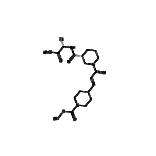 CC[C@H](NC(=O)[C@@H]1CCCN(C(=O)/C=C/C2CCN(C(=O)OC(C)(C)C)CC2)C1)C(=O)OC